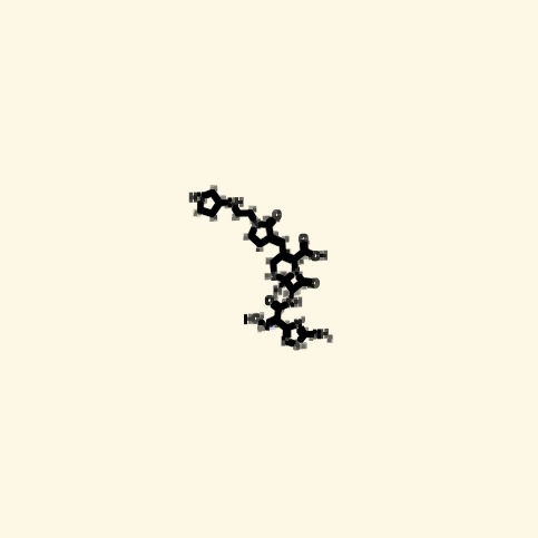 Nc1nc(/C(=N/O)C(=O)N[C@@H]2C(=O)N3C(C(=O)O)=C(C=C4CCN(CCNC5CCNC5)C4=O)CS[C@H]23)ns1